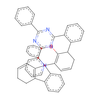 C1=CC2=C(CC1)c1ccccc1C21C2=C(Oc3ccccc31)C(c1ccccc1-c1nc(-c3ccccc3)nc(-c3ccccn3)n1)CC=C2